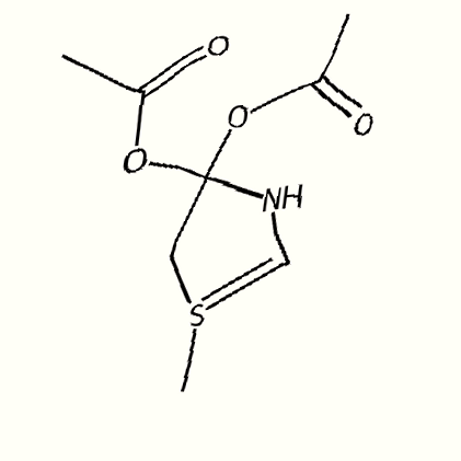 CC(=O)OC1(OC(C)=O)CS(C)=CN1